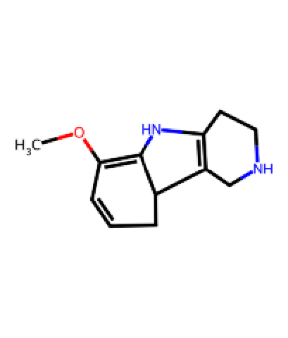 COC1=C2NC3=C(CNCC3)C2CC=C1